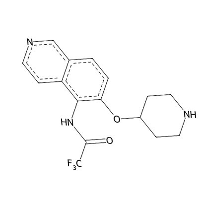 O=C(Nc1c(OC2CCNCC2)ccc2cnccc12)C(F)(F)F